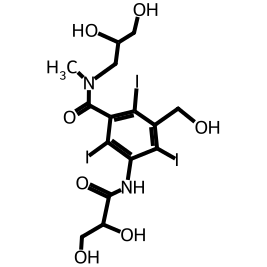 CN(CC(O)CO)C(=O)c1c(I)c(CO)c(I)c(NC(=O)C(O)CO)c1I